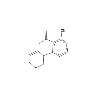 C=C(C)c1c(C#N)cccc1C1C=CCCC1